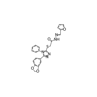 O=C(CSc1nnc(-c2ccc3c(c2)OCO3)n1-c1ccccc1)N/N=C/c1ccco1